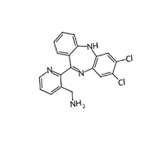 NCc1cccnc1C1=Nc2cc(Cl)c(Cl)cc2Nc2ccccc21